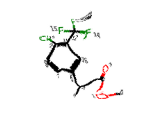 COC(=O)C(C)c1ccc(Cl)c(C(F)(F)F)c1